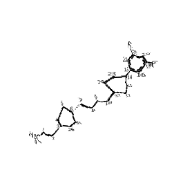 CCC[C@H]1CC[C@H](CCCCC2CCC(c3cc(F)cc(F)c3)CC2)CC1